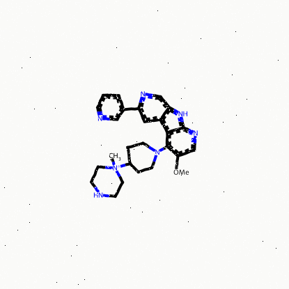 COc1cnc2[nH]c3cnc(-c4cccnc4)cc3c2c1N1CCC([N+]2(C)CCNCC2)CC1